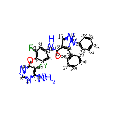 Nc1ncnc(Oc2ccc(NC(=O)c3cnn(-c4ccccc4)c3-c3ccccc3)cc2F)c1Cl